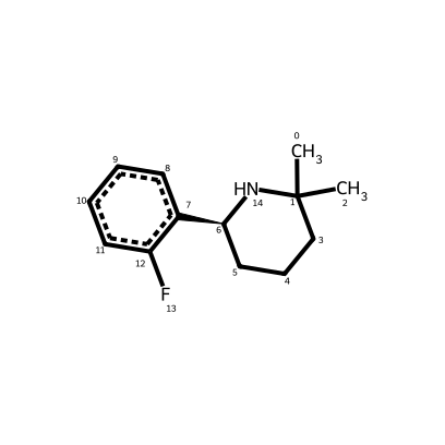 CC1(C)CCC[C@@H](c2cc[c]cc2F)N1